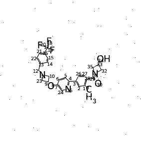 Cc1cc(-c2ccc(OC3CN(Cc4ccc(C(F)(F)F)cc4)C3)cn2)ccc1C(=O)N1CC(O)C1